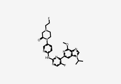 COc1nc(-c2nc(Nc3ccc(N4CCN(CCF)CC4=O)cn3)ncc2F)cc2c1ncn2C(C)C